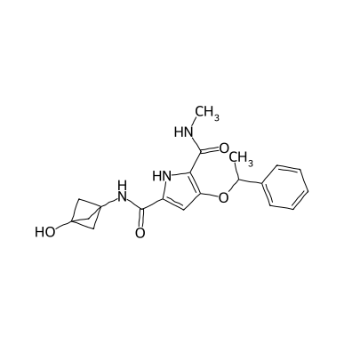 CNC(=O)c1[nH]c(C(=O)NC23CC(O)(C2)C3)cc1OC(C)c1ccccc1